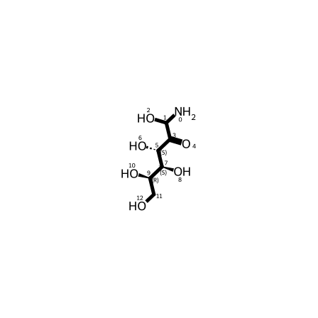 NC(O)C(=O)[C@@H](O)[C@@H](O)[C@H](O)CO